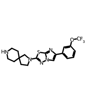 FC(F)(F)Oc1cccc(-c2cn3nc(N4CCC5(CCNCC5)C4)sc3n2)c1